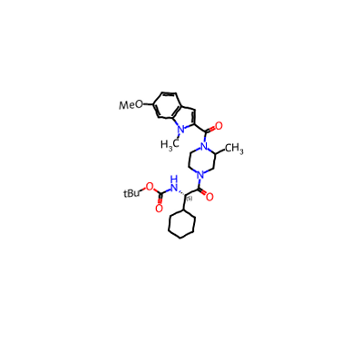 COc1ccc2cc(C(=O)N3CCN(C(=O)[C@@H](NC(=O)OC(C)(C)C)C4CCCCC4)CC3C)n(C)c2c1